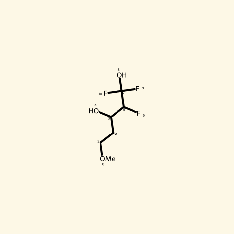 COCCC(O)C(F)C(O)(F)F